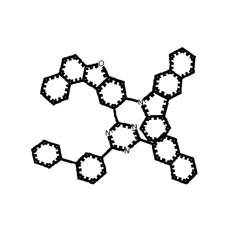 c1ccc(-c2cccc(-c3nc(-c4ccc5ccccc5c4)nc(-c4cc5c(cc4-n4c6ccccc6c6cc7ccccc7cc64)oc4ccc6ccccc6c45)n3)c2)cc1